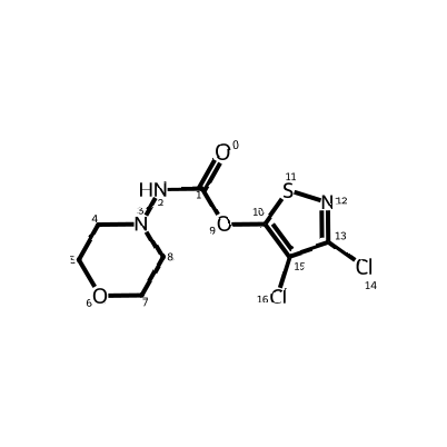 O=C(NN1CCOCC1)Oc1snc(Cl)c1Cl